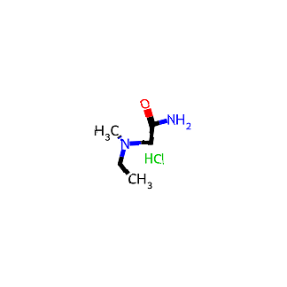 CCN(C)CC(N)=O.Cl